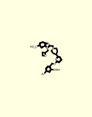 COc1cc(C(C)=O)ccc1COc1cccc(C2CCN(Cc3nc4ccc(C(=O)O)cc4n3CC3CCO3)CC2)n1